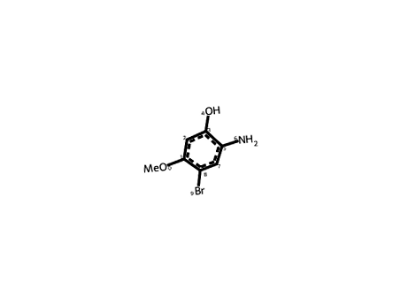 COc1cc(O)c(N)cc1Br